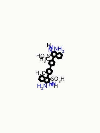 [H]/N=N/c1c(S(=O)(=O)O)c(-c2ccc(-c3ccc(-c4c(S(=O)(=O)O)c(/N=N/[H])c(N)c5ccccc45)c(C)c3)cc2C)c2ccccc2c1N